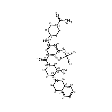 CC(=O)N1CCC(Nc2cc(C(=O)N3CC[C@@H](N4CCc5ccccc5C4)[C@H](O)C3)nc(OC(F)(F)F)n2)CC1